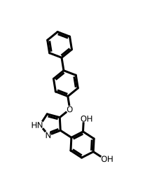 Oc1ccc(-c2n[nH]cc2Oc2ccc(-c3ccccc3)cc2)c(O)c1